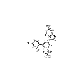 CCS(=O)(=O)Nc1cc(-c2ccc(F)cc2F)cc(-n2cnc3cc(Br)cnc32)c1